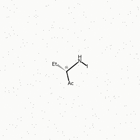 CC[C@H](NI)C(C)=O